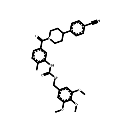 COc1cc(CNC(=O)Nc2cc(C(=O)N3CCC(c4ccc(C#N)cc4)CC3)ccc2C)cc(OC)c1OC